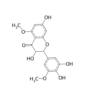 COc1cc(C2Oc3cc(O)cc(OC)c3C(=O)C2O)cc(O)c1O